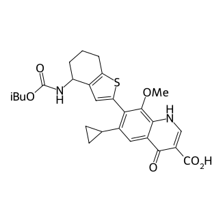 COc1c(-c2cc3c(s2)CCCC3NC(=O)OCC(C)C)c(C2CC2)cc2c(=O)c(C(=O)O)c[nH]c12